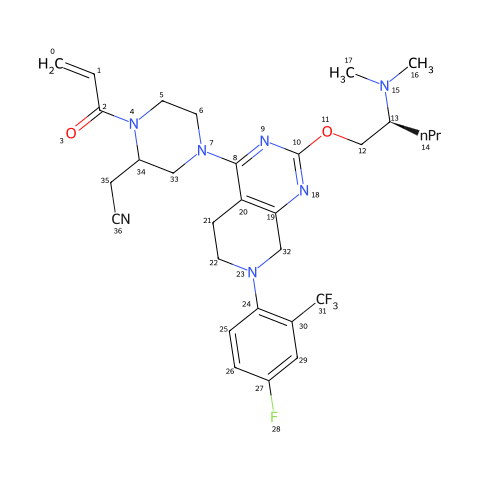 C=CC(=O)N1CCN(c2nc(OC[C@H](CCC)N(C)C)nc3c2CCN(c2ccc(F)cc2C(F)(F)F)C3)CC1CC#N